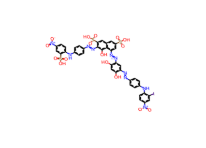 O=[N+]([O-])c1ccc(Nc2ccc(N=Nc3cc(/N=N/c4cc(S(=O)(=O)O)cc5cc(S(=O)(=O)O)c(N=Nc6ccc(Nc7ccc([N+](=O)[O-])cc7S(=O)(=O)O)cc6)c(O)c45)c(O)cc3O)cc2)c(I)c1